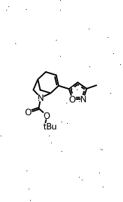 Cc1cc(C2=CCC3CC2N(C(=O)OC(C)(C)C)C3)on1